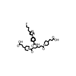 O=C(O)CCC1CCN(C(=O)CCC(CCC(=O)N2CCC(CCC(=O)O)CC2)NC(=O)c2ccc(-n3cc(CCCF)nn3)cc2)CC1